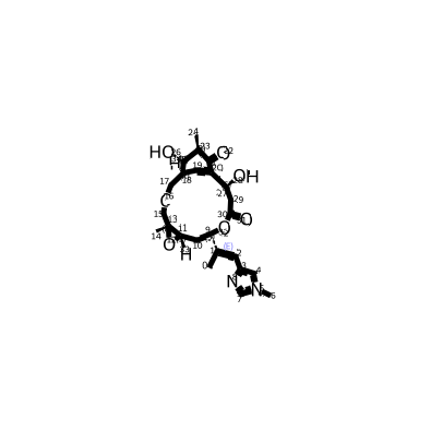 C/C(=C\c1cn(C)cn1)[C@@H]1C[C@@H]2O[C@]2(C)CCC[C@@H]2C=C(C(=O)[C@H](C)[C@H]2O)[C@@H](O)CC(=O)O1